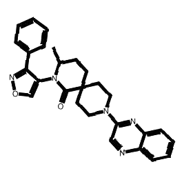 CC1CCC2(CCN(c3cnc4ccccc4n3)CC2)C(=O)N1c1conc1-c1ccccc1